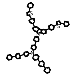 c1ccc(-c2ccc(-c3ccc(N(c4ccc(-c5ccc(-c6ccccc6)cc5)cc4)c4ccc(-c5ccc(-n6c7ccc(-c8ccc(-c9ccc(-c%10ccccc%10)s9)cc8)cc7c7cc(-c8ccc(-c9ccc(-c%10ccccc%10)s9)cc8)ccc76)cc5)cc4)cc3)cc2)cc1